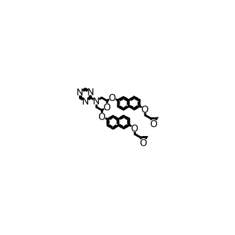 c1ncnc(N2CC(Oc3ccc4cc(OCC5CO5)ccc4c3)OC(Oc3ccc4cc(OCC5CO5)ccc4c3)C2)n1